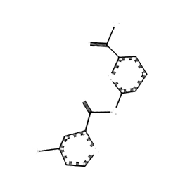 O=C(O)c1cccc(NC(=O)c2cc(Cl)ccn2)n1